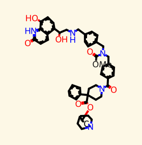 COC(=O)N(Cc1ccc(CNCC(O)c2ccc(O)c3[nH]c(=O)ccc23)cc1)Cc1ccc(C(=O)N2CCC(C(=O)OC3CN4CCC3CC4)(c3ccccc3)CC2)cc1